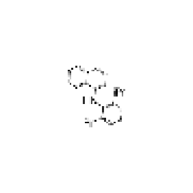 CC(C)c1cccc(C(C)C)c1Nc1cccc2ccccc12